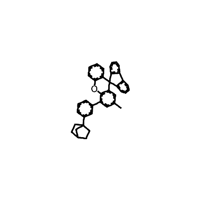 Cc1cc(-c2cccc(C34CCC(CC3)C4)c2)c2c(c1)C1(c3ccccc3O2)c2ccccc2-c2ccccc21